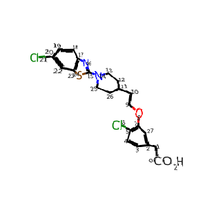 O=C(O)Cc1ccc(Cl)c(OCCC2CCN(c3nc4ccc(Cl)cc4s3)CC2)c1